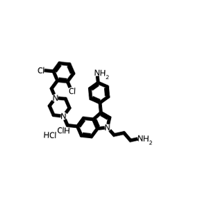 Cl.Cl.NCCCn1cc(-c2ccc(N)cc2)c2cc(CN3CCN(Cc4c(Cl)cccc4Cl)CC3)ccc21